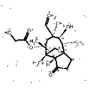 C=C[C@]1(C)C[C@@H](OC(=O)CO)[C@]2(C)[C@H](C)CC[C@]3(CCC(=O)[C@@H]32)[C@@H](C)[C@@H]1O